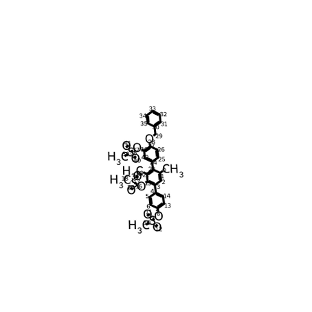 Cc1cc(-c2ccc(OS(C)(=O)=O)cc2)c(OS(C)(=O)=O)c(C)c1-c1ccc(OCc2ccccc2)c(OS(C)(=O)=O)c1